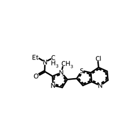 CCN(C)C(=O)c1ncc(-c2cc3nccc(Cl)c3s2)n1C